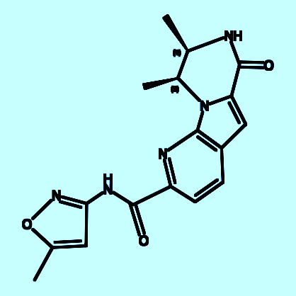 Cc1cc(NC(=O)c2ccc3cc4n(c3n2)[C@@H](C)[C@@H](C)NC4=O)no1